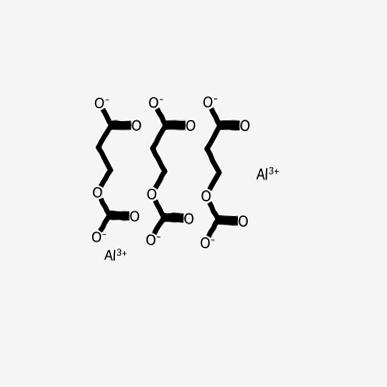 O=C([O-])CCOC(=O)[O-].O=C([O-])CCOC(=O)[O-].O=C([O-])CCOC(=O)[O-].[Al+3].[Al+3]